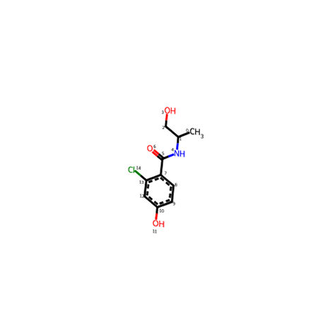 CC(CO)NC(=O)c1ccc(O)cc1Cl